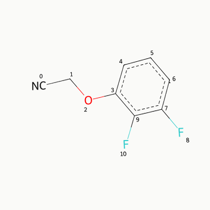 N#CCOc1cc[c]c(F)c1F